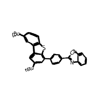 CC(C)(C)c1ccc2sc3c(-c4ccc(-c5nc6ccccc6o5)cc4)cc(C(C)(C)C)cc3c2c1